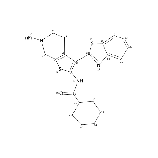 CCCN1CCc2c(sc(NC(=O)C3CCCCC3)c2-c2nc3ccccc3s2)C1